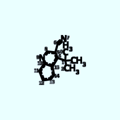 CC(C)(C)c1c(C#N)cnc2ccccc12